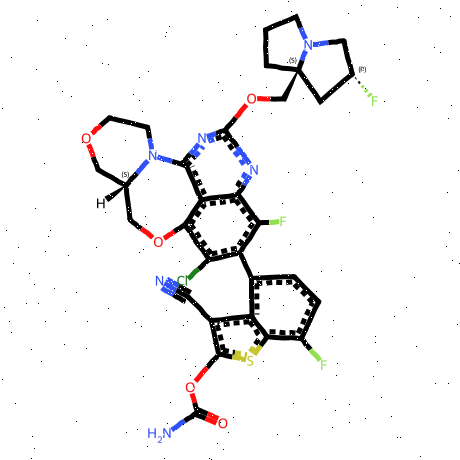 N#Cc1c(OC(N)=O)sc2c(F)ccc(-c3c(Cl)c4c5c(nc(OC[C@@]67CCCN6C[C@H](F)C7)nc5c3F)N3CCOC[C@H]3CO4)c12